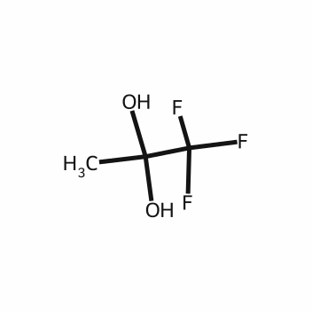 CC(O)(O)C(F)(F)F